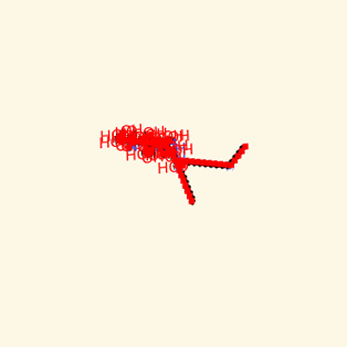 CCCCCCCC/C=C\CCCCCCCCCCCCCCCC(=O)N[C@@H](CO[C@@H]1OC(CO)[C@@H](O[C@@H]2OC(CO)[C@H](O)[C@H](O[C@@H]3OC(CO)[C@@H](O[C@@H]4OC(CO)[C@H](O)[C@H](O[C@@H]5OC(CO)[C@@H](O)[C@H](O[C@@H]6OC(CO)[C@H](O)[C@H](O)C6O)C5NC(C)=O)C4O)[C@H](O[C@H]4OC(C)[C@@H](O)C(O)[C@@H]4O)C3NC(C)=O)C2O)[C@H](O)C1O)[C@H](O)/C=C/CCCCCCCCCCCCC